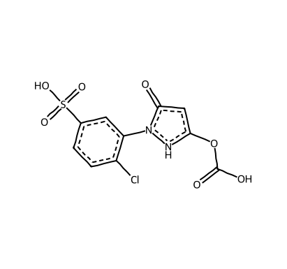 O=C(O)Oc1cc(=O)n(-c2cc(S(=O)(=O)O)ccc2Cl)[nH]1